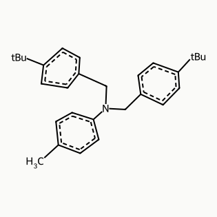 Cc1ccc(N(Cc2ccc(C(C)(C)C)cc2)Cc2ccc(C(C)(C)C)cc2)cc1